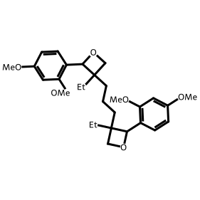 CCC1(CCCC2(CC)COC2c2ccc(OC)cc2OC)COC1c1ccc(OC)cc1OC